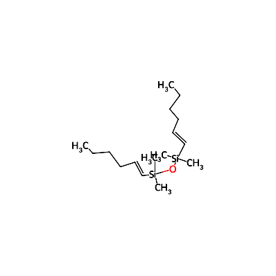 CCCCC=C[Si](C)(C)O[Si](C)(C)C=CCCCC